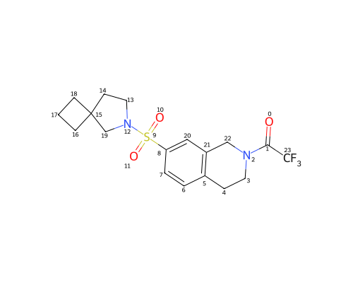 O=C(N1CCc2ccc(S(=O)(=O)N3CCC4(CCC4)C3)cc2C1)C(F)(F)F